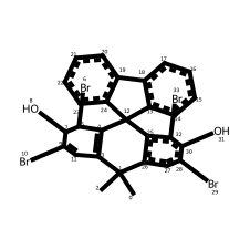 CC1(C)C2=C(C(Br)C(O)C(Br)=C2)C2(c3ccccc3-c3ccccc32)c2c1cc(Br)c(O)c2Br